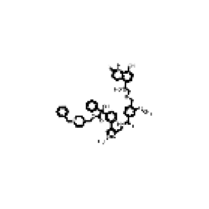 COc1cc(C(=O)NCc2nn(C)cc2-c2cccc(C(O)(C(=O)OCC3CCN(Cc4ccccc4)CC3)c3ccccc3)c2)ccc1CNC[C@H](O)c1ccc(O)c2[nH]c(=O)ccc12